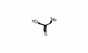 O=[C](O)[Nb]